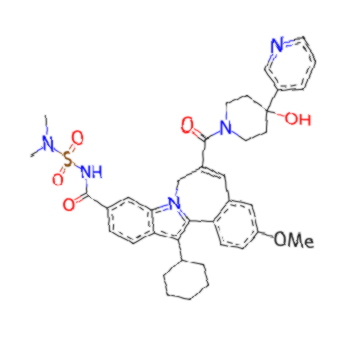 COc1ccc2c(c1)C=C(C(=O)N1CCC(O)(c3cccnc3)CC1)Cn1c-2c(C2CCCCC2)c2ccc(C(=O)NS(=O)(=O)N(C)C)cc21